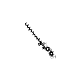 CCCCCCCCCCCCCCCCCC(=O)NCNC(=O)c1ccc(Oc2ccc(O)cc2)cc1